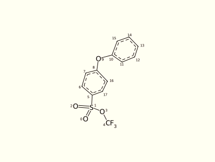 O=S(=O)(OC(F)(F)F)c1ccc(Oc2ccccc2)cc1